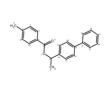 Cc1ccc(C(=O)OC(C)c2ccc(-c3ccccc3)cc2)cc1